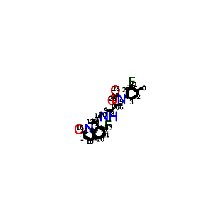 Cc1ccc(N2C[C@@H](CCNC[C@H]3Cn4c(=O)ccc5ccc(F)c3c54)OC2=O)cc1F